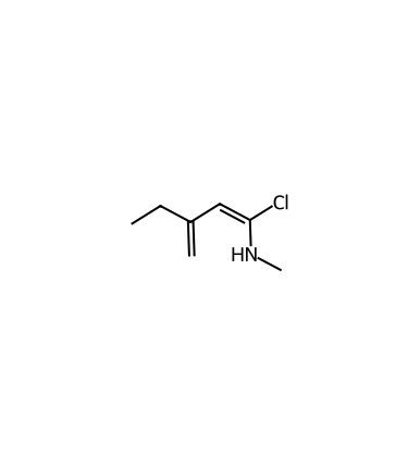 C=C(/C=C(/Cl)NC)CC